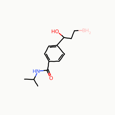 BCCC(O)c1ccc(C(=O)NC(C)C)cc1